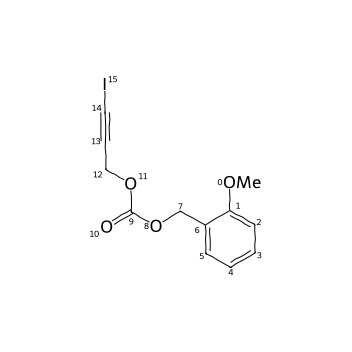 COc1ccccc1COC(=O)OCC#CI